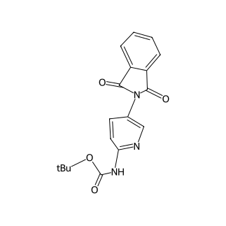 CC(C)(C)OC(=O)Nc1ccc(N2C(=O)c3ccccc3C2=O)cn1